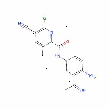 CC(=N)c1cc(NC(=O)c2nc(Cl)c(C#N)cc2C)ccc1N